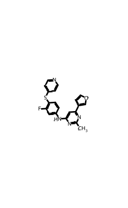 Cc1nc(Nc2ccc(Sc3ccncc3)c(F)c2)cc(-c2ccoc2)n1